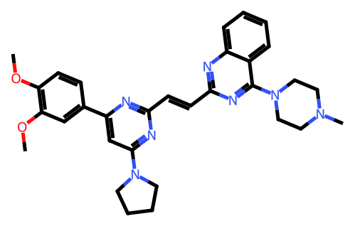 COc1ccc(-c2cc(N3CCCC3)nc(/C=C/c3nc(N4CCN(C)CC4)c4ccccc4n3)n2)cc1OC